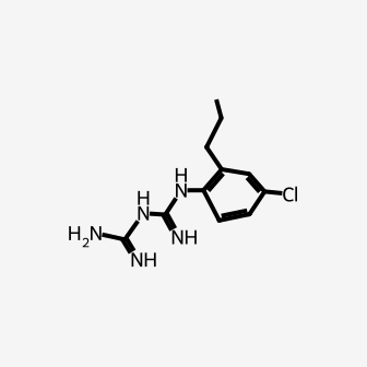 CCCc1cc(Cl)ccc1NC(=N)NC(=N)N